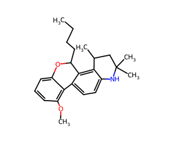 CCCCC1Oc2cccc(OC)c2-c2ccc3c(c21)C(C)CC(C)(C)N3